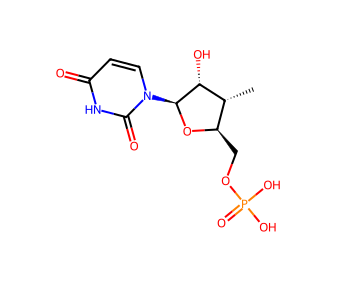 C[C@H]1[C@@H](O)[C@H](n2ccc(=O)[nH]c2=O)O[C@@H]1COP(=O)(O)O